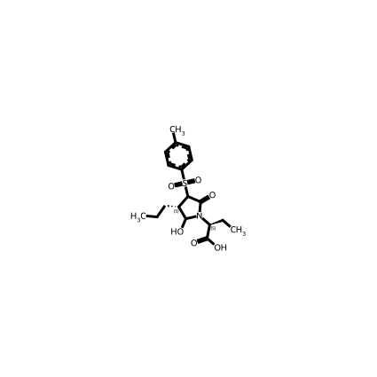 CCC[C@H]1C(O)N([C@@H](CC)C(=O)O)C(=O)C1S(=O)(=O)c1ccc(C)cc1